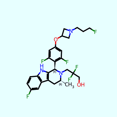 C[C@@H]1Cc2c([nH]c3ccc(F)cc23)[C@@H](c2c(F)cc(OC3CN(CCCF)C3)cc2F)N1CC(F)(F)CO